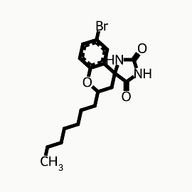 CCCCCCCC1CC2(NC(=O)NC2=O)c2cc(Br)ccc2O1